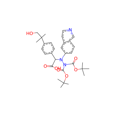 CC(C)(C)OC(=O)N(C(=O)OC(C)(C)C)N(c1ccc2cnccc2c1)C(C(=O)O)c1ccc(C(C)(C)CO)cc1